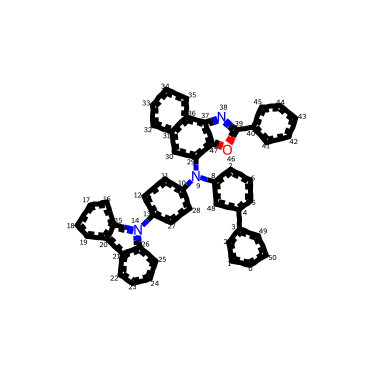 c1ccc(-c2cccc(N(c3ccc(-n4c5ccccc5c5ccccc54)cc3)c3cc4ccccc4c4nc(-c5ccccc5)oc34)c2)cc1